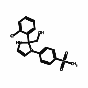 CS(=O)(=O)c1ccc(N2C=CNC2(CO)c2ccccc2Cl)cc1